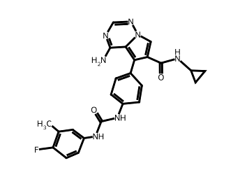 Cc1cc(NC(=O)Nc2ccc(-c3c(C(=O)NC4CC4)cn4ncnc(N)c34)cc2)ccc1F